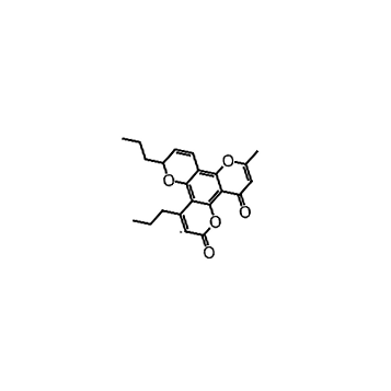 CCCc1[c]c(=O)oc2c1c1c(c3oc(C)cc(=O)c32)C=CC(CCC)O1